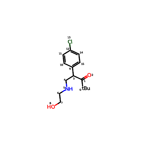 CC(C)(C)C(=O)C(CNCCO)c1ccc(Cl)cc1